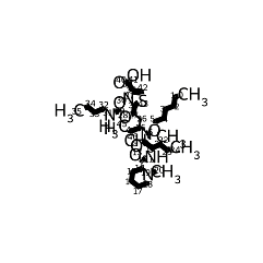 CCCCCCON(C(=O)[C@@H](NC(=O)[C@H]1CCCCN1C)[C@@H](C)CC)[C@H](C[C@@H](OC(=O)NCCCC)c1nc(C(=O)O)cs1)C(C)C